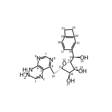 N/C=N\c1c(N)ncnc1C[C@@H]1O[C@H]([C@H](O)c2ccc3c(c2)CC3)[C@@H](O)[C@H]1O